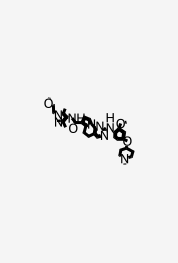 COCCn1nc(C)c(NC(=O)c2ccn3c2CCc2cnc(Nc4ccc(OC5CCN(C)CC5)cc4OC)nc2-3)c1C